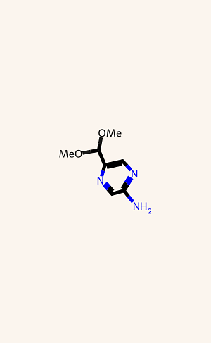 COC(OC)c1cnc(N)cn1